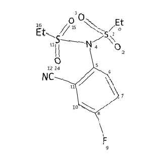 CCS(=O)(=O)N(c1c[c]c(F)cc1C#N)S(=O)(=O)CC